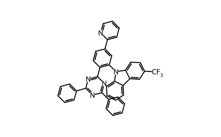 FC(F)(F)c1ccc2c(c1)c1ccccc1n2-c1cc(-c2ccccn2)ccc1-c1nc(-c2ccccc2)nc(-c2ccccc2)n1